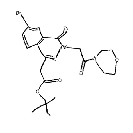 CC(C)(C)OC(=O)Cc1nn(CC(=O)N2CCOCC2)c(=O)c2cc(Br)ccc12